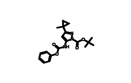 CC(C)(C)OC(=O)n1nc(C2(C)CC2)cc1NC(=O)Oc1ccccc1